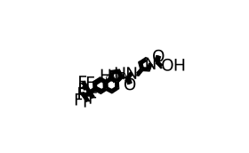 O=C(NCC1CCN(C(=O)CO)C1)[C@@H]1CC[C@H]2c3ccc(C(F)(C(F)(F)F)C(F)(F)F)cc3CCC12